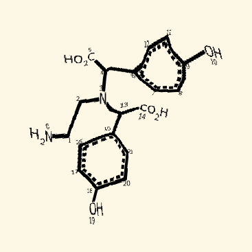 NCCN(C(C(=O)O)c1ccc(O)cc1)C(C(=O)O)c1ccc(O)cc1